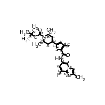 Cc1cn2cc(NC(=O)c3sc(C4C[C@@H](C)N(C(=O)OC(C)(C)C)[C@@H](C)C4)cc3F)cc(F)c2n1